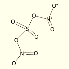 O=[N+]([O-])OS(=O)(=O)O[N+](=O)[O-]